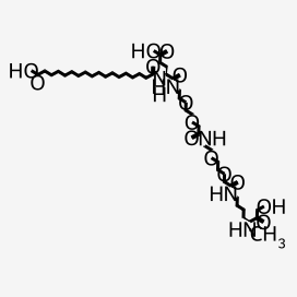 CN[C@@H](CCCCNC(=O)COCCOCCNC(=O)COCCOCCNC(=O)[C@H](CCC(=O)O)NC(=O)CCCCCCCCCCCCCCCCC(=O)O)C(=O)CO